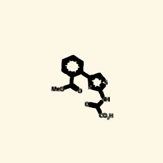 COC(=O)c1ccccc1-c1csc(NC(=O)C(=O)O)n1